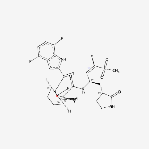 CS(=O)(=O)/C(F)=C\[C@@H](C[C@H]1CCNC1=O)NC(=O)[C@@H]1[C@H]2CC[C@H](CC2(F)F)N1C(=O)c1cc2c(F)ccc(F)c2[nH]1